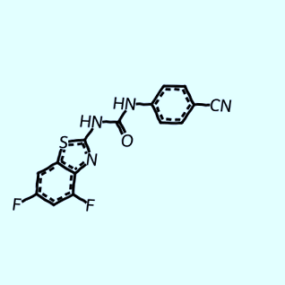 N#Cc1ccc(NC(=O)Nc2nc3c(F)cc(F)cc3s2)cc1